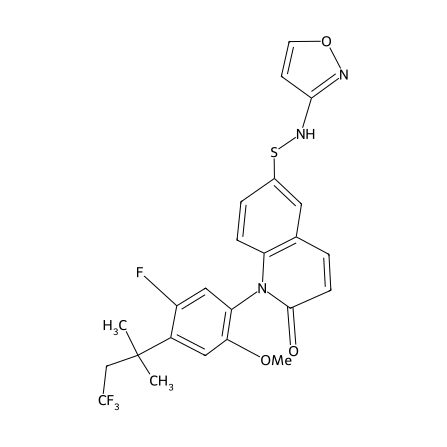 COc1cc(C(C)(C)CC(F)(F)F)c(F)cc1-n1c(=O)ccc2cc(SNc3ccon3)ccc21